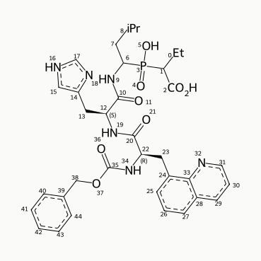 CCC(C(=O)O)P(=O)(O)C(CC(C)C)NC(=O)[C@H](Cc1c[nH]cn1)NC(=O)[C@@H](Cc1cccc2cccnc12)NC(=O)OCc1ccccc1